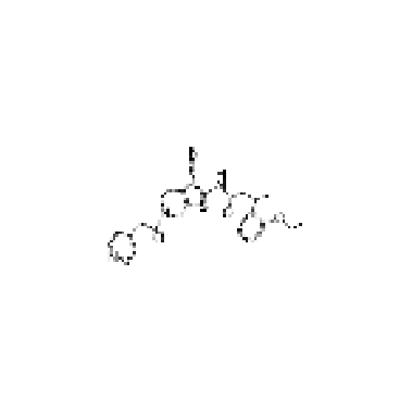 CCOc1ccccc1C(C)CC(=O)Nc1sc2c(c1C#N)CCN(C(=O)Cc1ccncc1)C2